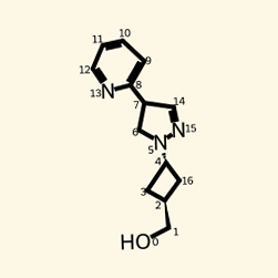 OC[C@H]1C[C@H](N2CC(c3ccccn3)C=N2)C1